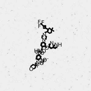 CC1(C)CCC(CN2CCN(c3ccc(C(=O)NS(=O)(=O)c4ccc(NCC5(F)CCOCC5)c([N+](=O)[O-])c4)c(Oc4cnc5[nH]ccc5c4)c3)CC2)=C(C23CC(C(F)(F)F)(C2)C3)C1